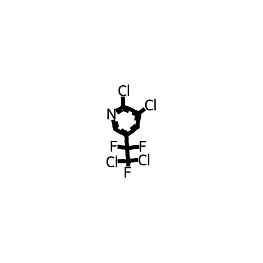 FC(Cl)(Cl)C(F)(F)c1cnc(Cl)c(Cl)c1